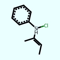 C/C=C(\C)[SiH](Cl)c1ccccc1